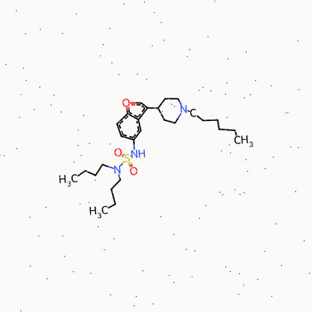 CCCCCCN1CCC(c2coc3ccc(NS(=O)(=O)N(CCCC)CCCC)cc23)CC1